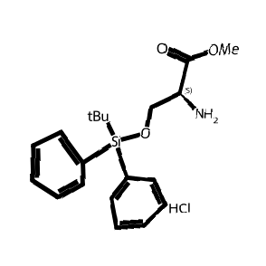 COC(=O)[C@@H](N)CO[Si](c1ccccc1)(c1ccccc1)C(C)(C)C.Cl